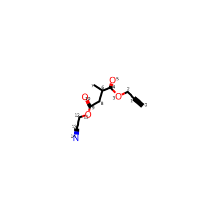 C#CCOC(=O)C(C)CC(=O)OCC#N